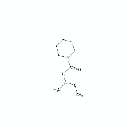 COC(C)OC(=O)N1CCCCC1